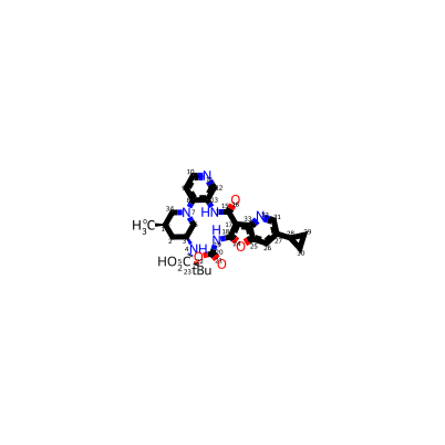 C[C@@H]1C[C@H](NC(=O)O)CN(c2ccncc2NC(=O)c2c(NC(=O)OC(C)(C)C)oc3cc(C4CC4)cnc23)C1